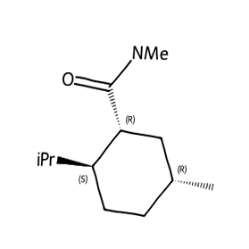 CNC(=O)[C@@H]1C[C@H](C)CC[C@H]1C(C)C